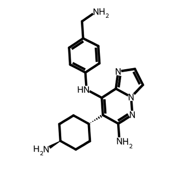 NCc1ccc(Nc2c3nccn3nc(N)c2[C@H]2CC[C@H](N)CC2)cc1